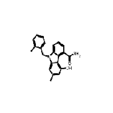 Cc1cc(O)c2c3c(C(N)=O)cccc3n(Cc3ccccc3C)c2c1